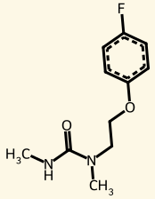 CNC(=O)N(C)CCOc1ccc(F)cc1